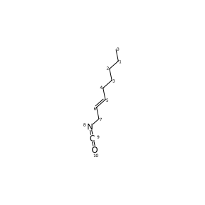 CCCCCC=CCN=C=O